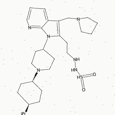 CC(C)[C@H]1CC[C@@H](N2CCC(n3c(CCNN[SH](=O)=O)c(CN4CCCC4)c4cccnc43)CC2)CC1